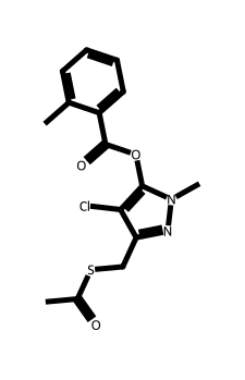 CC(=O)SCc1nn(C)c(OC(=O)c2ccccc2C)c1Cl